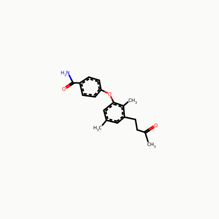 CC(=O)CCc1cc(C)cc(Oc2ccc(C(N)=O)cc2)c1C